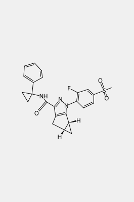 CS(=O)(=O)c1ccc(-n2nc(C(=O)NC3(c4ccccc4)CC3)c3c2[C@@H]2C[C@@H]2C3)c(F)c1